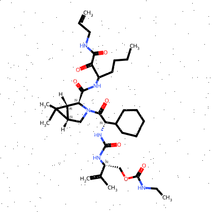 C=CCNC(=O)C(=O)C(CCCC)NC(=O)[C@@H]1[C@@H]2[C@H](CN1C(=O)[C@@H](NC(=O)N[C@H](COC(=O)NCC)C(=C)C)C1CCCCC1)C2(C)C